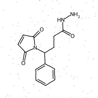 NNC(=O)CCC(c1ccccc1)N1C(=O)C=CC1=O